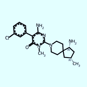 C[C@H]1C[C@@H](N)C2(CCN(c3nc(N)c(-c4cccc(Cl)c4)c(=O)n3C)CC2)C1